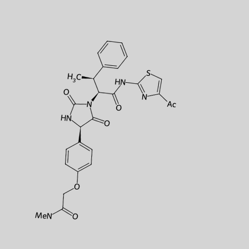 CNC(=O)COc1ccc([C@H]2NC(=O)N([C@H](C(=O)Nc3nc(C(C)=O)cs3)[C@@H](C)c3ccccc3)C2=O)cc1